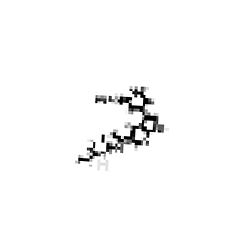 C=CC(=O)Nc1nc(-c2cnc3[nH]cc(-c4ccnc(NC)c4)c3c2)co1